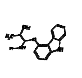 CC(C)NC(Oc1cccc2[nH]c3ccccc3c12)C(C)O